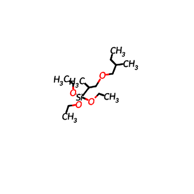 CCO[Si](OCC)(OCC)C(C)COCC(C)CC